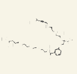 CSSC(C)(COc1cccc(C(=O)NCCOCCOCCOCCCC(C)C)c1)OCCOCC(=O)NCC#CC(C)C